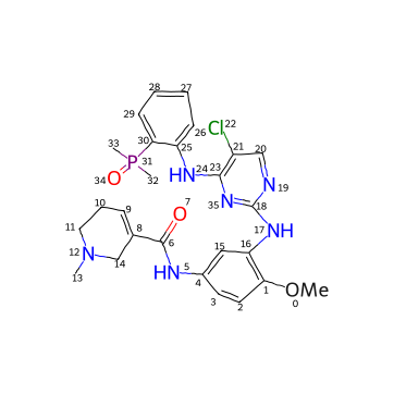 COc1ccc(NC(=O)C2=CCCN(C)C2)cc1Nc1ncc(Cl)c(Nc2ccccc2P(C)(C)=O)n1